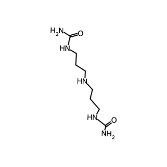 NC(=O)NCCCNCCCNC(N)=O